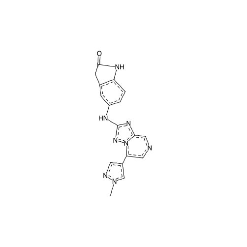 Cn1cc(-c2cncc3nc(Nc4ccc5c(c4)CC(=O)N5)nn23)cn1